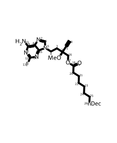 C#CC(CCn1cnc2c(N)nc(F)nc21)(COC(=O)CCCCCCCCCCCCCCCC)OC